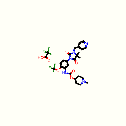 CN1CCC(OC(=O)Nc2cc(N3C(=O)N(Cc4ccncc4)C(C)(C)C3=O)ccc2OC(F)(F)F)CC1.O=C(O)C(F)(F)F